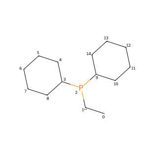 C[C]P(C1CCCCC1)C1CCCCC1